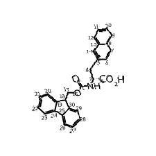 O=C(N[C@H](Cc1ccc2ccccc2c1)C(=O)O)OCC1c2ccccc2-c2ccccc21